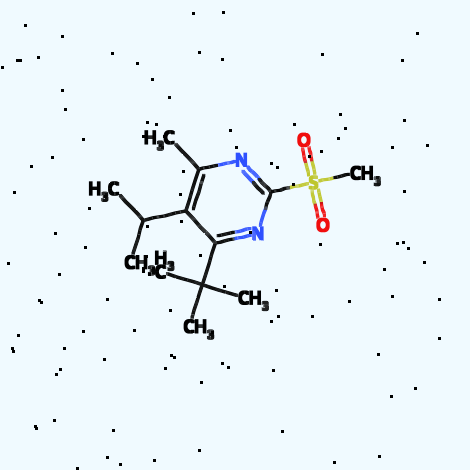 Cc1nc(S(C)(=O)=O)nc(C(C)(C)C)c1C(C)C